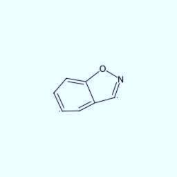 [c]1ccc2on[c]c2c1